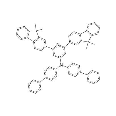 CC1(C)c2ccccc2-c2ccc(-c3cc(N(c4ccc(-c5ccccc5)cc4)c4ccc(-c5ccccc5)cc4)cc(-c4ccc5c(c4)C(C)(C)c4ccccc4-5)n3)cc21